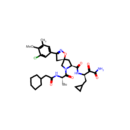 COc1c(C)cc(C2=NO[C@]3(C2)C[C@@H](C(=O)N[C@H](CC2CC2)C(=O)C(N)=O)N(C(=O)[C@@H](NC(=O)CC2CCCCC2)C(C)(C)C)C3)cc1Cl